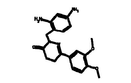 COc1ccc(C2=NN(Cc3ccc(N)cc3N)C(=O)CC2)cc1OC